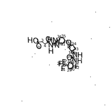 O=C(O)CCC(=O)Nc1nc2cc(Oc3ccc(NC(=O)Nc4cc(C(F)(F)F)ccc4F)cc3)ccc2[nH]1